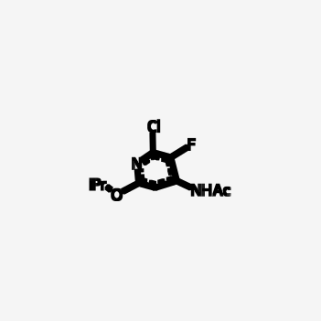 CC(=O)Nc1cc(OC(C)C)nc(Cl)c1F